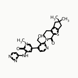 Cn1cc(-c2ccnc(N3CCc4c(sc5c4CC(C)(C)C5)C3=O)c2CO)cc(Nc2ccncn2)c1=O